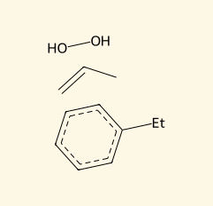 C=CC.CCc1ccccc1.OO